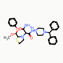 CO[C@@H](Oc1ccccc1)[C@H]1SCCN1C(C(N)=O)C(=O)NN1CCN(C(c2ccccc2)c2ccccc2)CC1